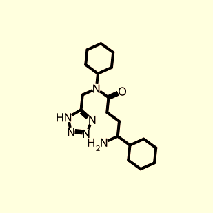 NC(CCC(=O)N(Cc1nnn[nH]1)C1CCCCC1)C1CCCCC1